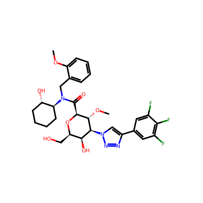 COc1ccccc1CN(C(=O)[C@@H]1O[C@H](CO)[C@H](O)[C@H](n2cc(-c3cc(F)c(F)c(F)c3)nn2)[C@H]1OC)[C@H]1CCCC[C@@H]1O